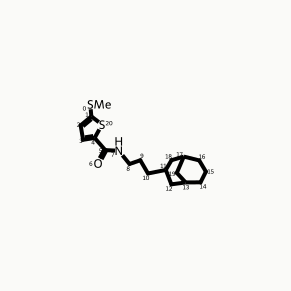 CSc1ccc(C(=O)NCCCC2CC3CCCC(C2)C3)s1